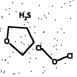 C1CCOC1.ClOCl.S